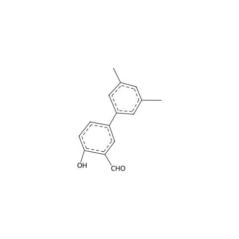 Cc1cc(C)cc(-c2ccc(O)c(C=O)c2)c1